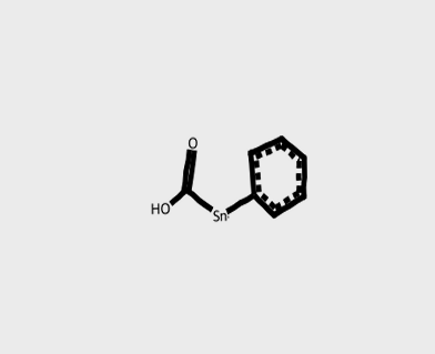 O=[C](O)[Sn][c]1ccccc1